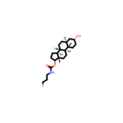 C[C@]12CC[C@@H](O)C[C@@H]1CC[C@@H]1[C@@H]2CC[C@]2(C)[C@@H](OC(=O)NCCCF)CC[C@@H]12